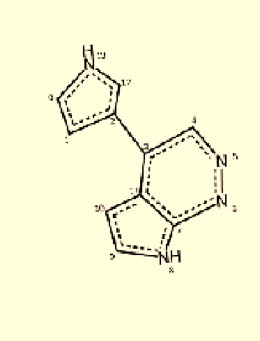 c1cc(-c2cnnc3[nH]ccc23)c[nH]1